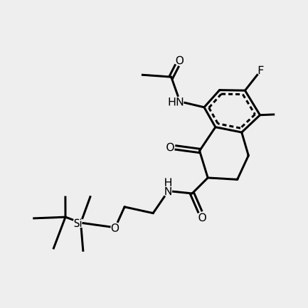 CC(=O)Nc1cc(F)c(C)c2c1C(=O)C(C(=O)NCCO[Si](C)(C)C(C)(C)C)CC2